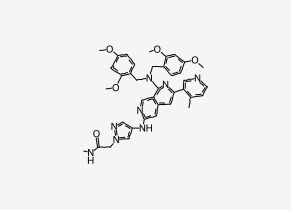 CNC(=O)Cn1cc(Nc2cc3cc(-c4cnccc4C)nc(N(Cc4ccc(OC)cc4OC)Cc4ccc(OC)cc4OC)c3cn2)cn1